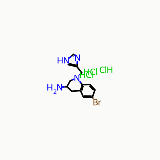 Cl.Cl.Cl.NC1Cc2cc(Br)ccc2N(Cc2c[nH]cn2)C1